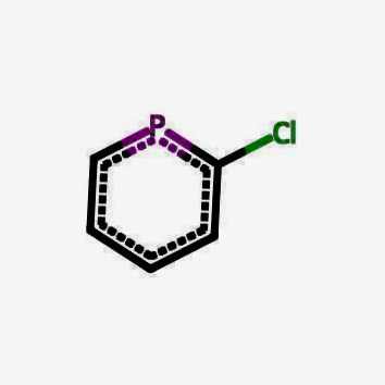 Clc1ccccp1